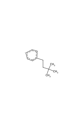 CC(C)(C)CCc1cc[c]cc1